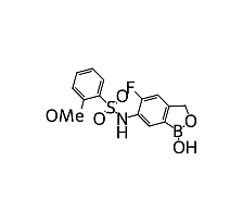 COc1ccccc1S(=O)(=O)Nc1cc2c(cc1F)COB2O